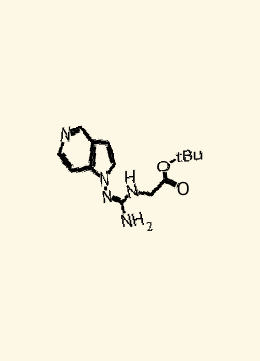 CC(C)(C)OC(=O)CNC(N)=Nn1ccc2cnccc21